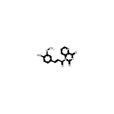 COc1cc(/C=C/C(=O)n2c(=O)oc(=O)c3ncccc32)ccc1O